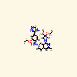 CCOc1cc(-c2nncn2C)ccc1NN1C=Cc2cc(C)nc(N3CC(CC)(OCC)C3)c2C1